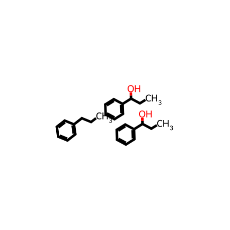 CCC(O)c1ccccc1.CCC(O)c1ccccc1.CCCc1ccccc1